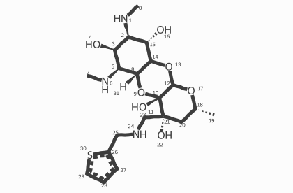 CN[C@@H]1[C@H](O)[C@H](NC)[C@H]2O[C@]3(O)C(OC2[C@H]1O)O[C@H](C)C[C@@]3(O)CNCc1cccs1